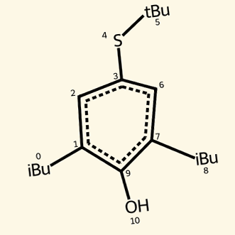 CCC(C)c1cc(SC(C)(C)C)cc(C(C)CC)c1O